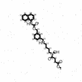 COC(=O)CCC(=O)N(O)CCCCNCc1cccc(COC(=O)Nc2cccc3ccccc23)c1